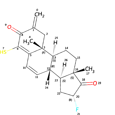 C=C1C[C@@]2(C)C(=C(S)C1=O)C=C[C@@H]1[C@@H]2CC[C@]2(C)C(=O)[C@H](F)C[C@@H]12